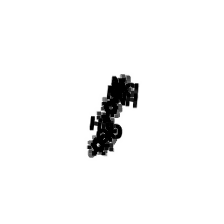 Cc1ccc(OC(C)C(=O)NCC(C)c2ccc(-c3nn4nc(C)c(Cl)c4[nH]3)cc2)c(C)c1